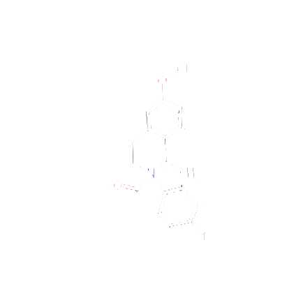 COc1ccc2c(c1)CC[N+](C=O)(c1ccc(I)cc1)C2C